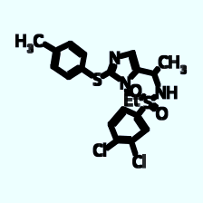 CCn1c(C(C)NS(=O)(=O)c2ccc(Cl)c(Cl)c2)cnc1Sc1ccc(C)cc1